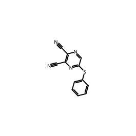 N#Cc1ncc(Sc2ccccc2)nc1C#N